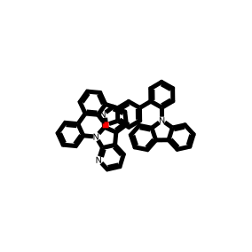 c1ccc(-n2c3ccccc3c3ccccc32)c(-c2ccc3oc4c(-c5ccccc5-n5c6ncccc6c6cccnc65)cccc4c3c2)c1